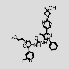 COCCN1C[C@@H](NC(=O)Nc2c(C)c(-c3cnc(N4CC(C)(O)C4)nc3)nn2-c2ccccc2)[C@H](c2ccnc(F)c2)O1